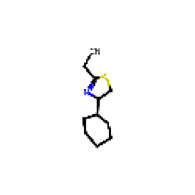 N#CCC1=NC(C2CCCCC2)CS1